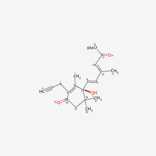 C#CCC1=C(C)[C@](O)(C=CC(C)=CC(=O)OC)C(C)(C)CC1=O